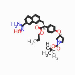 C=CCOC(=O)[C@@H](Cc1ccc2ccc(C(N)=NO)cc2c1)c1ccc(O[C@H]2CCN(C(=O)OC(C)(C)C)C2)cc1